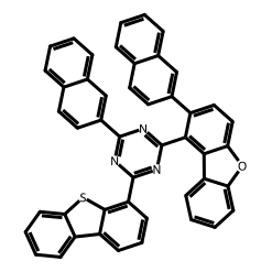 c1ccc2cc(-c3nc(-c4cccc5c4sc4ccccc45)nc(-c4c(-c5ccc6ccccc6c5)ccc5oc6ccccc6c45)n3)ccc2c1